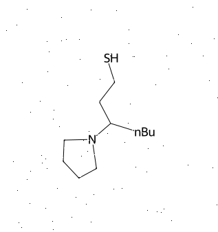 CCCCC(CCS)N1CCCC1